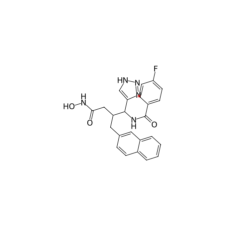 O=C(CC(Cc1ccc2ccccc2c1)C(NC(=O)c1ccc(F)cc1)c1c[nH]nn1)NO